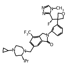 CC(C)[C@H]1CN(C2CC2)CCN1Cc1cc2c(c(C(F)(F)F)c1)CN(c1cccc(C3([C@@H](F)c4nncn4C)COC3)c1)C2=O